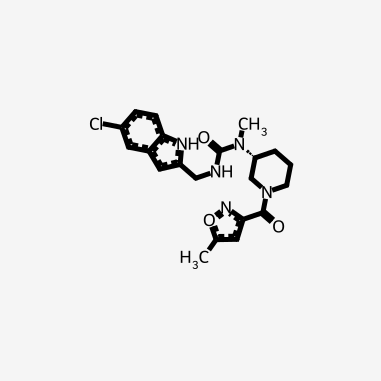 Cc1cc(C(=O)N2CCC[C@@H](N(C)C(=O)NCc3cc4cc(Cl)ccc4[nH]3)C2)no1